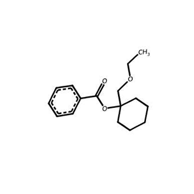 CCOCC1(OC(=O)c2ccccc2)CCCCC1